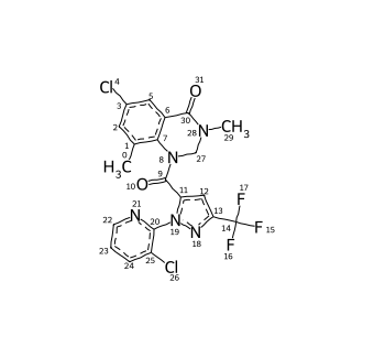 Cc1cc(Cl)cc2c1N(C(=O)c1cc(C(F)(F)F)nn1-c1ncccc1Cl)CN(C)C2=O